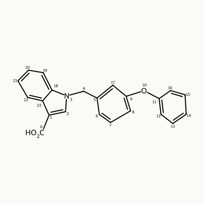 O=C(O)c1cn(Cc2cccc(Oc3ccccc3)c2)c2ccccc12